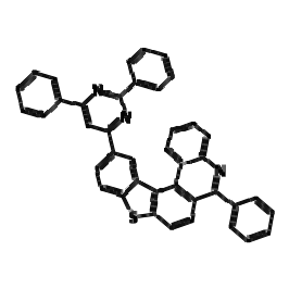 c1ccc(-c2cc(-c3ccc4sc5ccc6c(-c7ccccc7)nc7ccccc7c6c5c4c3)nc(-c3ccccc3)n2)cc1